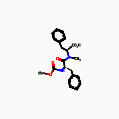 CN(C(=O)[C@H](Cc1ccccc1)NC(=O)OC(C)(C)C)[C@@H](Cc1ccccc1)C(=O)O